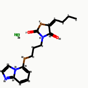 CCCC=C1SC(=O)N(CCCSc2cccc3nccn23)C1=O.Cl